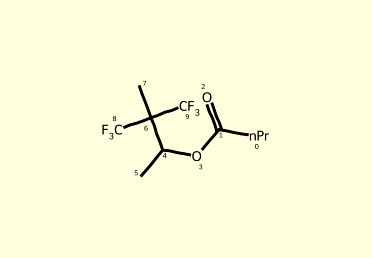 CCCC(=O)OC(C)C(C)(C(F)(F)F)C(F)(F)F